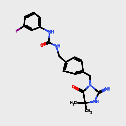 CC1(C)NC(=N)N(Cc2ccc(CNC(=O)Nc3cccc(I)c3)cc2)C1=O